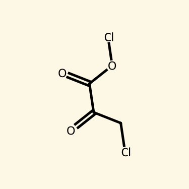 O=C(CCl)C(=O)OCl